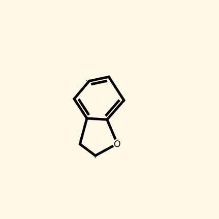 [c]1ccc2c(c1)C[CH]O2